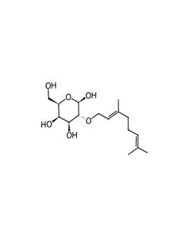 CC(C)=CCC/C(C)=C/CO[C@@H]1[C@@H](O)[C@@H](O)[C@@H](CO)O[C@H]1O